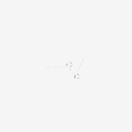 CCCCCCCCCCc1ccccc1COCc1ccccc1CCCCCCCCCC